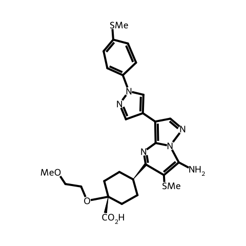 COCCO[C@]1(C(=O)O)CC[C@@H](c2nc3c(-c4cnn(-c5ccc(SC)cc5)c4)cnn3c(N)c2SC)CC1